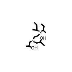 CCC(C)N(CCN(CC(C)O)CC(C)O)C(C)CC